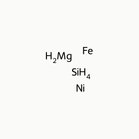 [Fe].[MgH2].[Ni].[SiH4]